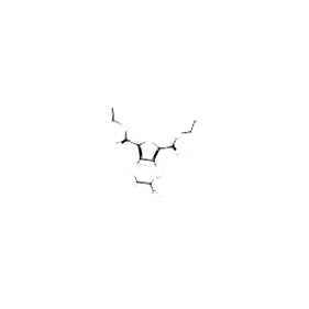 CCOC(=O)c1sc(C(=O)OCC)c2c1OCC(O)O2